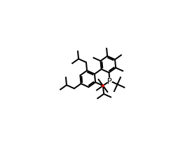 Cc1c(C)c(C)c(P(C(C)(C)C)C(C)(C)C)c(-c2c(CC(C)C)cc(CC(C)C)cc2CC(C)C)c1C